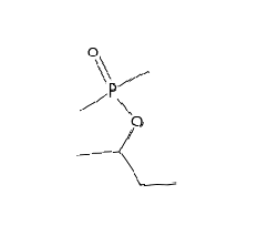 CCC(C)OP(C)(C)=O